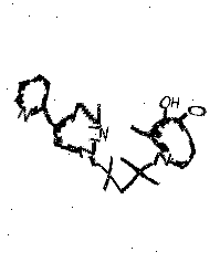 Cc1c(O)c(=O)ccn1C(C)(C)CC(C)(C)Cn1cc(-c2ccccn2)nn1